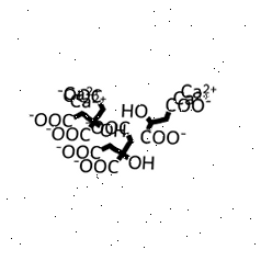 O=C([O-])CC(O)(CC(=O)[O-])C(=O)[O-].O=C([O-])CC(O)(CC(=O)[O-])C(=O)[O-].O=C([O-])CC(O)C(=O)[O-].[Ca+2].[Ca+2].[Ca+2].[Ca+2]